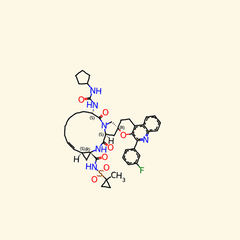 CC1(S(=O)(=O)NC(=O)[C@@]23C[C@H]2C=CCCCCC[C@H](NC(=O)NC2CCCC2)C(=O)N2C[C@@]4(CCc5c(c(-c6cccc(F)c6)nc6ccccc56)O4)C[C@H]2C(=O)N3)CC1